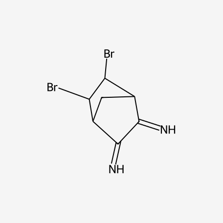 N=C1C(=N)C2CC1C(Br)C2Br